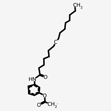 [CH2]C(=O)Oc1cccc(NC(=O)CCCCCCCCCCCCCCC)c1